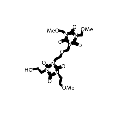 COCCn1c(=O)n(CCO)c(=O)n(CCOCn2c(=O)n(COC)c(=O)n(COC)c2=O)c1=O